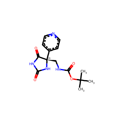 CC(C)(C)OC(=O)NC[C@@]1(c2ccncc2)NC(=O)NC1=O